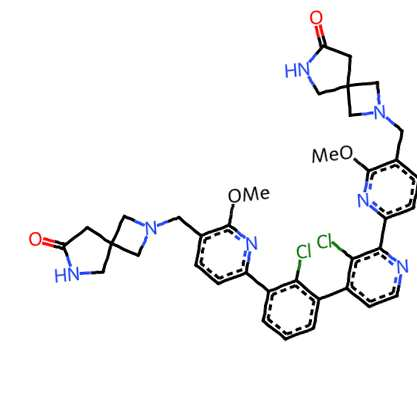 COc1nc(-c2cccc(-c3ccnc(-c4ccc(CN5CC6(CNC(=O)C6)C5)c(OC)n4)c3Cl)c2Cl)ccc1CN1CC2(CNC(=O)C2)C1